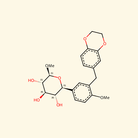 COc1ccc([C@@H]2O[C@H](OC)[C@@H](O)[C@H](O)[C@H]2O)cc1Cc1ccc2c(c1)OCCO2